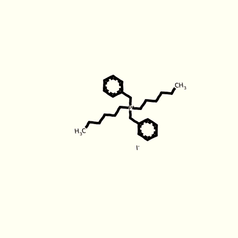 CCCCCC[P+](CCCCCC)(Cc1ccccc1)Cc1ccccc1.[I-]